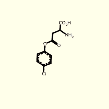 NC(CC(=O)Oc1ccc(Cl)cc1)C(=O)O